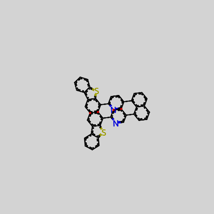 c1cc(-c2ccc(-c3cccc4c3sc3ccccc34)nc2)c2c(-c3ccc(-c4cccc5c4sc4ccccc45)nc3)cccc2c1